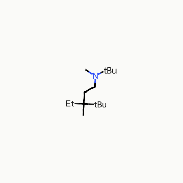 CCC(C)(CCN(C)C(C)(C)C)C(C)(C)C